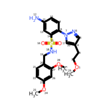 COCCc1cnn(-c2ccc(N)cc2S(=O)(=O)NCc2ccc(OC)cc2OC)c1